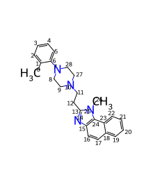 Cc1ccccc1N1CCN(CCc2nc3ccc4ccccc4c3n2C)CC1